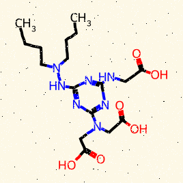 CCCCN(CCCC)Nc1nc(NCC(=O)O)nc(N(CC(=O)O)CC(=O)O)n1